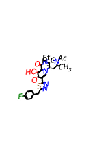 CCN1C[C@H](CC(C)N(C)C(C)=O)n2cc(-c3nnc(Cc4ccc(F)cc4)s3)c(=O)c(O)c2C1=O